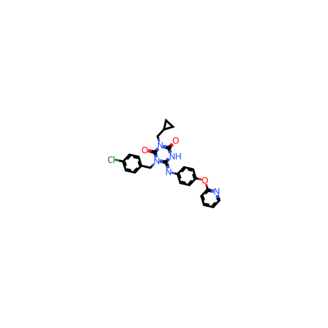 O=c1[nH]/c(=N\c2ccc(Oc3ccccn3)cc2)n(Cc2ccc(Cl)cc2)c(=O)n1CC1CC1